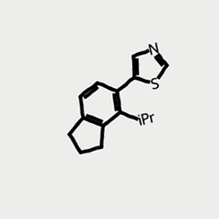 CC(C)c1c(-c2cncs2)ccc2c1CCC2